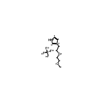 COCCOCC[n+]1cc[nH]c1.F[B-](F)(F)F